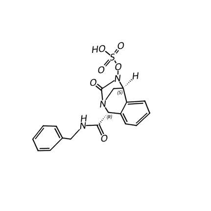 O=C(NCc1ccccc1)[C@H]1c2ccccc2[C@H]2CN1C(=O)N2OS(=O)(=O)O